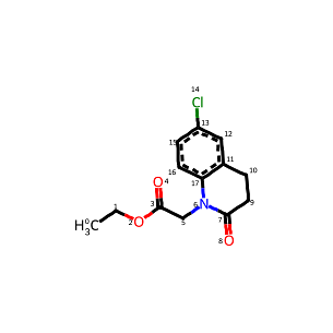 CCOC(=O)CN1C(=O)CCc2cc(Cl)ccc21